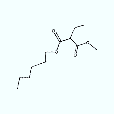 CCCCCCOC(=O)C(CC)C(=O)OC